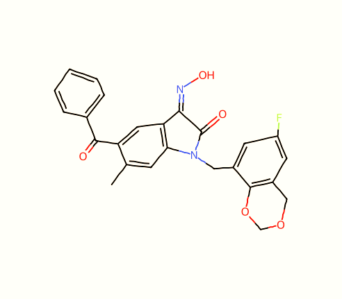 Cc1cc2c(cc1C(=O)c1ccccc1)/C(=N/O)C(=O)N2Cc1cc(F)cc2c1OCOC2